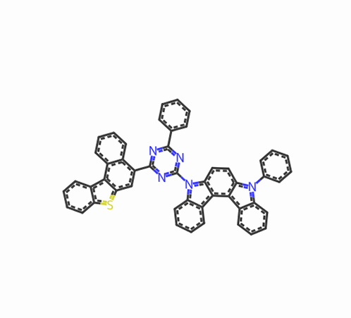 c1ccc(-c2nc(-c3cc4sc5ccccc5c4c4ccccc34)nc(-n3c4ccccc4c4c5c6ccccc6n(-c6ccccc6)c5ccc43)n2)cc1